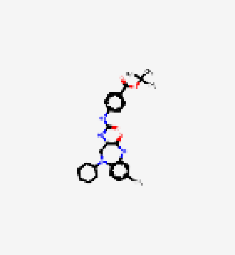 Cc1ccc2c(c1)NC(=O)[C@H](NC(=O)Nc1ccc(C(=O)OC(C)(C)C)cc1)CN2C1CCCCC1